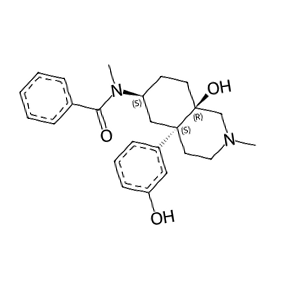 CN1CC[C@@]2(c3cccc(O)c3)C[C@@H](N(C)C(=O)c3ccccc3)CC[C@]2(O)C1